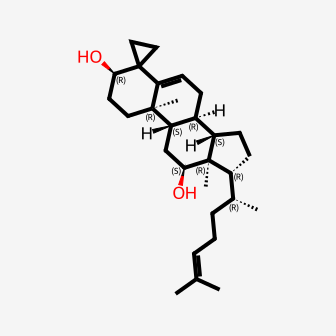 CC(C)=CCC[C@@H](C)[C@H]1CC[C@H]2[C@@H]3CC=C4C5(CC5)[C@H](O)CC[C@]4(C)[C@H]3C[C@H](O)[C@]12C